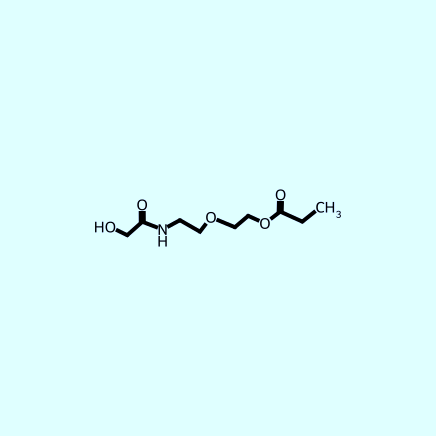 CCC(=O)OCCOCCNC(=O)CO